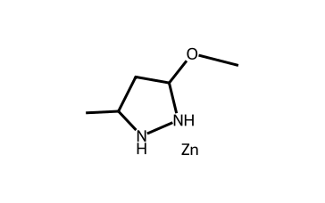 COC1CC(C)NN1.[Zn]